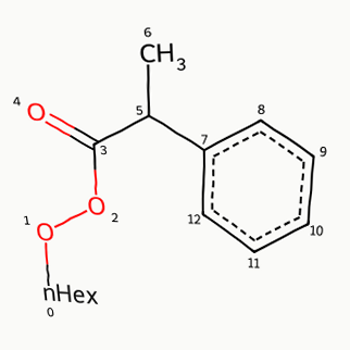 CCCCCCOOC(=O)C(C)c1ccccc1